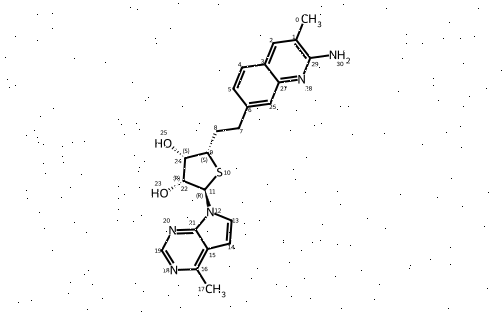 Cc1cc2ccc(CC[C@@H]3S[C@@H](n4ccc5c(C)ncnc54)[C@H](O)[C@@H]3O)cc2nc1N